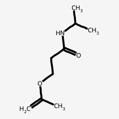 C=C(C)OCCC(=O)NC(C)C